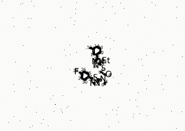 C=CN(C(=O)CSc1nnc(-c2cccc(C)c2)n1CC)c1nnc(-c2ccc(F)cc2)s1